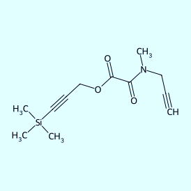 C#CCN(C)C(=O)C(=O)OCC#C[Si](C)(C)C